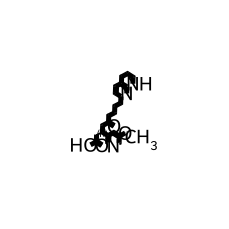 COc1cncc([C@@H](CC(=O)O)CC(=O)CCCCc2ccc3c(n2)NCCC3)c1